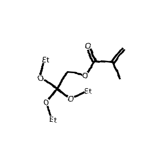 C=C(C)C(=O)OCC(OCC)(OCC)OCC